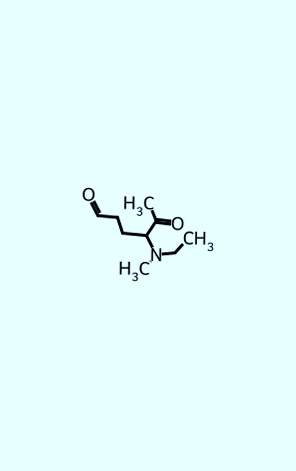 CCN(C)C(CCC=O)C(C)=O